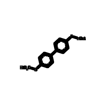 CCCCCCCCSc1ccc(-c2ccc(OC(=O)OCC)cc2)cc1